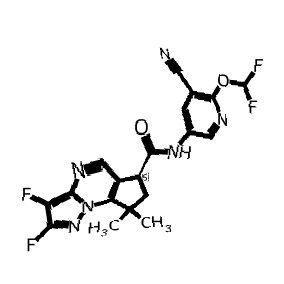 CC1(C)C[C@H](C(=O)Nc2cnc(OC(F)F)c(C#N)c2)c2cnc3c(F)c(F)nn3c21